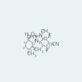 Cc1ccc(C)c(N2c3cc(F)c(C#N)c(F)c3N(C)[C@@H]2C)c1C